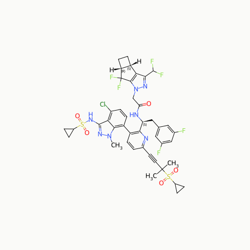 Cn1nc(NS(=O)(=O)C2CC2)c2c(Cl)ccc(-c3ccc(C#CC(C)(C)S(=O)(=O)C4CC4)nc3[C@H](Cc3cc(F)cc(F)c3)NC(=O)Cn3nc(C(F)F)c4c3C(F)(F)[C@@H]3CC[C@H]43)c21